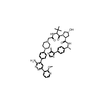 COc1ncccc1-c1cc(-c2ccc(N3CCN(CC(=O)NC(C(=O)N4C[C@H](O)C[C@H]4C(=O)N[C@@H](C)c4ccc(-c5scnc5C)cc4)C(C)(C)C)CC3)cc2)c(N)nn1